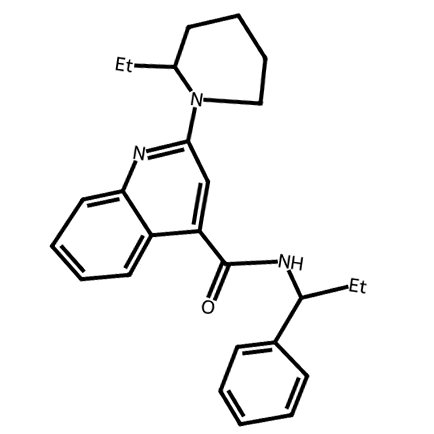 CCC(NC(=O)c1cc(N2CCCCC2CC)nc2ccccc12)c1ccccc1